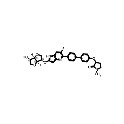 CN1CCC(Oc2ccc(-c3ccc(-c4nc5cc(O[C@@H]6CO[C@H]7[C@@H]6OC[C@H]7O)[nH]c5cc4F)cc3)cc2)C1=O